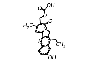 CCc1c2c(nc3ccc(O)cc13)-c1cc(C)c(COC(=O)O)c(=O)n1C2